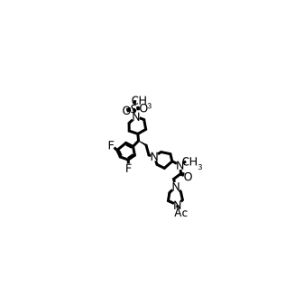 CC(=O)N1CCN(CC(=O)N(C)C2CCN(CC[C@@H](c3cc(F)cc(F)c3)C3CCN(S(C)(=O)=O)CC3)CC2)CC1